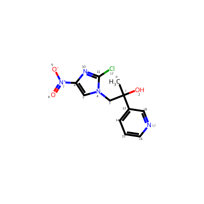 CC(O)(Cn1cc([N+](=O)[O-])nc1Cl)c1cccnc1